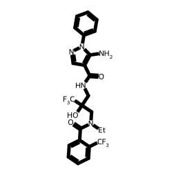 CCN(CC(O)(CNC(=O)c1cnn(-c2ccccc2)c1N)C(F)(F)F)C(=O)c1ccccc1C(F)(F)F